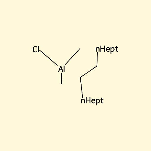 [CH2]CCCCCCCCCCCCCCC.[CH3][Al]([CH3])[Cl]